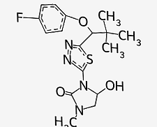 CN1CC(O)N(c2nnc(C(Oc3ccc(F)cc3)C(C)(C)C)s2)C1=O